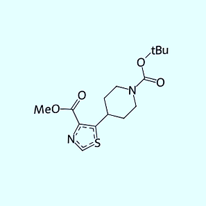 COC(=O)c1ncsc1C1CCN(C(=O)OC(C)(C)C)CC1